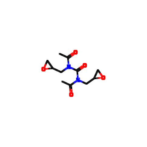 CC(=O)N(CC1CO1)C(=O)N(CC1CO1)C(C)=O